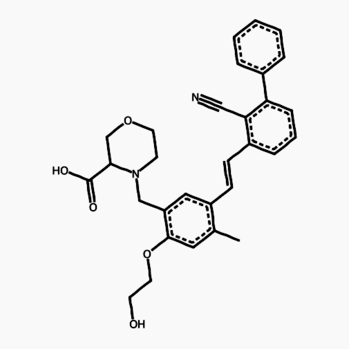 Cc1cc(OCCO)c(CN2CCOCC2C(=O)O)cc1C=Cc1cccc(-c2ccccc2)c1C#N